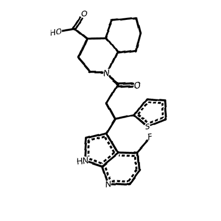 O=C(O)C1CCN(C(=O)CC(c2cccs2)c2c[nH]c3nccc(F)c23)C2CCCCC12